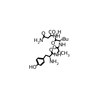 CC[C@H](C)[C@H](NC(=O)[C@H](C)NC(=O)[C@@H](N)Cc1ccc(O)cc1)C(=O)N[C@@H](CC(N)=O)C(=O)O